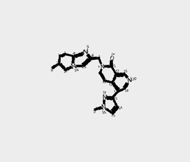 Cc1ccc2nc(Cn3ccc4c(-c5ccn(C)n5)cncc4c3=O)cn2c1